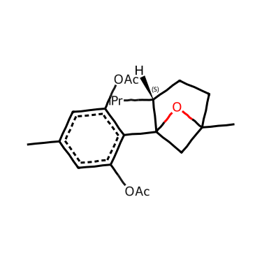 CC(=O)Oc1cc(C)cc(OC(C)=O)c1C12CC(C)(CC[C@H]1C(C)C)O2